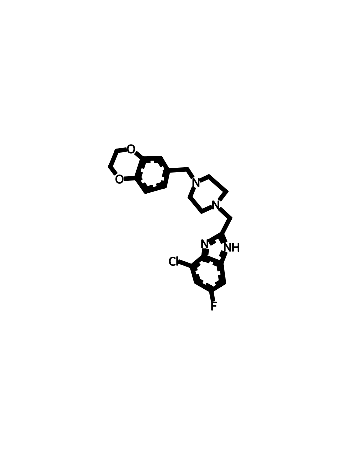 Fc1cc(Cl)c2nc(CN3CCN(Cc4ccc5c(c4)OCCO5)CC3)[nH]c2c1